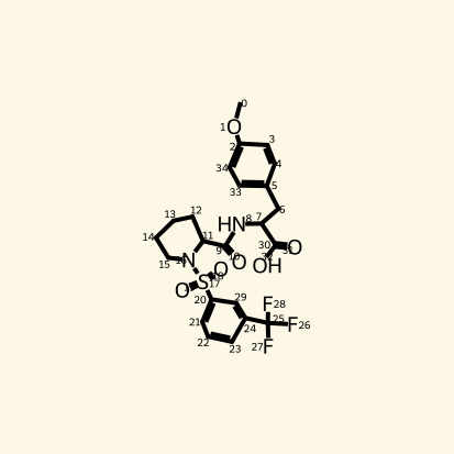 COc1ccc(CC(NC(=O)C2CCCCN2S(=O)(=O)c2cccc(C(F)(F)F)c2)C(=O)O)cc1